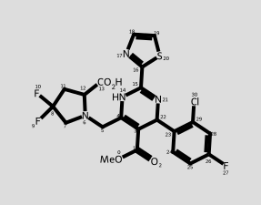 COC(=O)C1=C(CN2CC(F)(F)CC2C(=O)O)NC(c2nccs2)=NC1c1ccc(F)cc1Cl